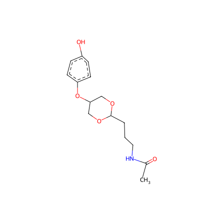 CC(=O)NCCCC1OCC(Oc2ccc(O)cc2)CO1